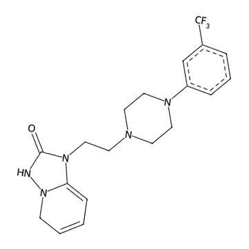 O=C1NN2CC=CC=C2N1CCN1CCN(c2cccc(C(F)(F)F)c2)CC1